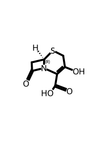 O=C(O)C1=C(O)CS[C@@H]2CC(=O)N12